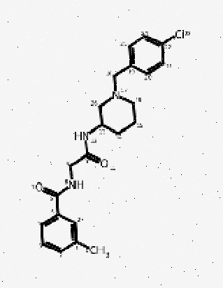 Cc1cccc(C(=O)NCC(=O)NC2CCCN(Cc3ccc(Cl)cc3)C2)c1